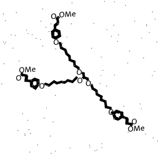 COC(=O)C=Cc1ccc(OCCCCCCCCCOCC(COCCCCCCCCCOc2ccc(C=CC(=O)OC)cc2)OCCCCCCCCCOc2ccc(C=CC(=O)OC)cc2)cc1